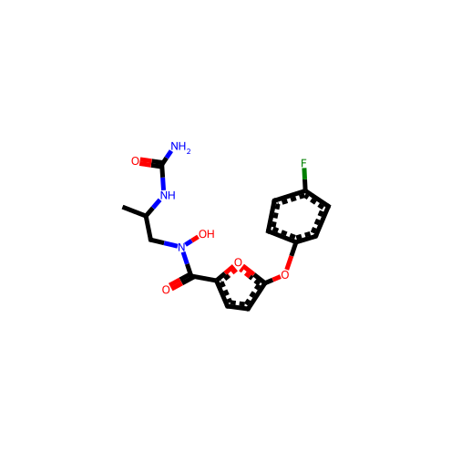 CC(CN(O)C(=O)c1ccc(Oc2ccc(F)cc2)o1)NC(N)=O